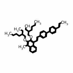 C/C=C/c1ccc(-c2ccc(/C=C/c3c(OCC(CC)CCCC)c(OCC(CC)CCCC)c(C)c4ccccc34)cc2)cc1